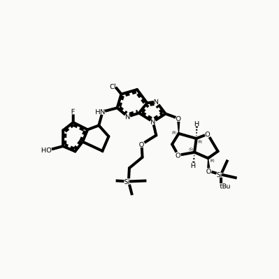 CC(C)(C)[Si](C)(C)O[C@@H]1CO[C@H]2[C@@H]1OC[C@H]2Oc1nc2cc(Cl)c(NC3CCc4cc(O)cc(F)c43)nc2n1COCC[Si](C)(C)C